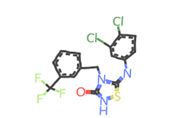 O=c1[nH]sc(=Nc2ccc(Cl)c(Cl)c2)n1Cc1cccc(C(F)(F)F)c1